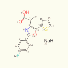 CC(C(=O)O)c1nc(-c2ccc(F)cc2)oc1-c1cccs1.[NaH]